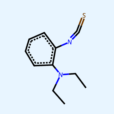 CCN(CC)c1ccccc1N=C=S